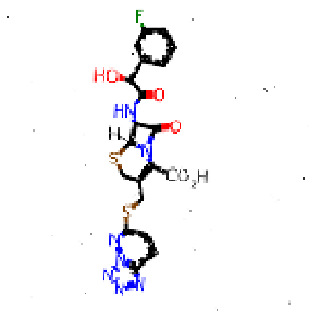 O=C(O)C1=C(CSc2ccc3nnnn3n2)CS[C@H]2C(NC(=O)C(O)c3cccc(F)c3)C(=O)N12